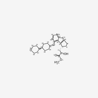 COC(=O)C(O)C[C@H]1CCc2sc3ncnc(OC4CCC(N5CCOCC5)CC4)c3c21